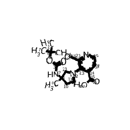 CC1(NC(=O)OC(C)(C)C)CCN(c2c(C(=O)O)ccnc2Cl)C1